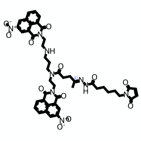 C/C(CCC(=O)N(CCCNCCN1C(=O)c2cccc3cc([N+](=O)[O-])cc(c23)C1=O)CCN1C(=O)c2cccc3cc([N+](=O)[O-])cc(c23)C1=O)=N\NC(=O)CCCCCN1C(=O)C=CC1=O